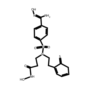 NC(=NO)c1ccc(S(=O)(=O)N(CCC(=O)NO)CCC2=CC=CCC2=S)cc1